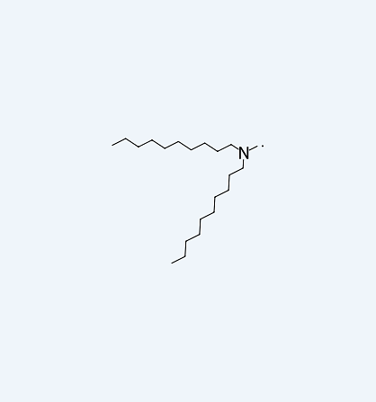 [CH2]N(CCCCCCCCCC)CCCCCCCCCC